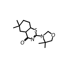 CC1(C)CCC2SC(N3COCC3(C)C)=NC(=O)C2C1